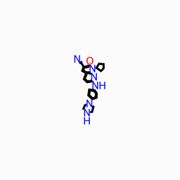 N#Cc1cc2ccc(Nc3ccc(N4CCNCC4)cc3)nc2n(C2CCCC2)c1=O